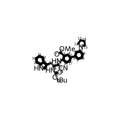 COC(=O)c1cc(-c2cccc(N3CCCC3)c2)ccc1NC(C#N)[C@H](Cc1c[nH]c2ccccc12)NC(=O)OC(C)(C)C